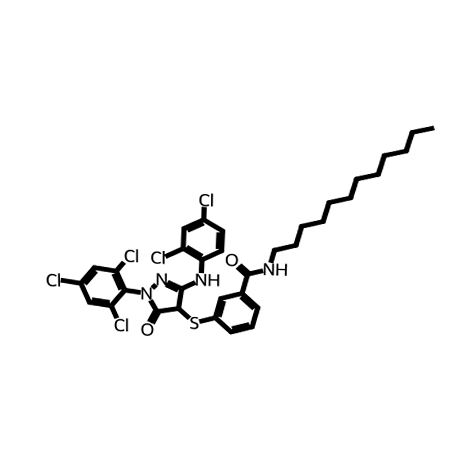 CCCCCCCCCCCCNC(=O)c1cccc(SC2C(=O)N(c3c(Cl)cc(Cl)cc3Cl)N=C2Nc2ccc(Cl)cc2Cl)c1